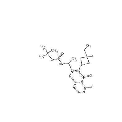 CC(NC(=O)OC(C)(C)C)c1nc2cccc(Cl)c2c(=O)n1C1CC(F)(CO)C1